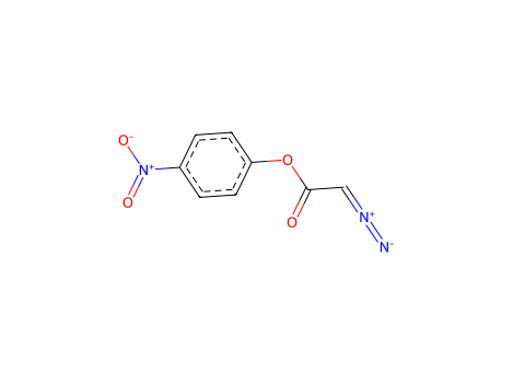 [N-]=[N+]=CC(=O)Oc1ccc([N+](=O)[O-])cc1